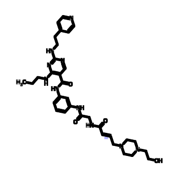 CCCNc1nc(NCCc2ccncc2)ncc1C(=O)Nc1cccc(NC(=O)CNC(=O)/C=C/CN2CCN(CCO)CC2)c1